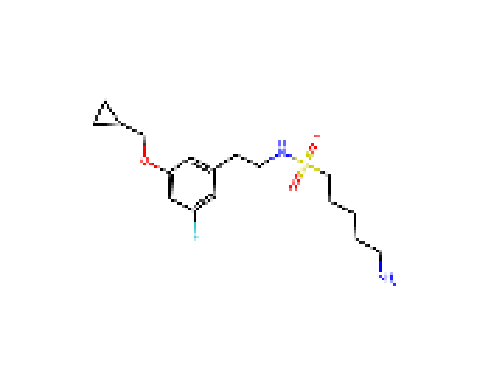 NCCCCCS(=O)(=O)NCCc1cc(F)cc(OCC2CC2)c1